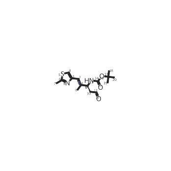 C/C(=C\c1csc(C)n1)[C@H](CC=O)NC(=O)OC(C)(C)C